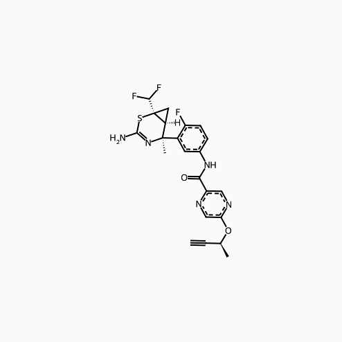 C#C[C@H](C)Oc1cnc(C(=O)Nc2ccc(F)c([C@@]3(C)N=C(N)S[C@@]4(C(F)F)C[C@@H]34)c2)cn1